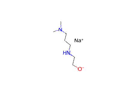 CN(C)CCCNCC[O-].[Na+]